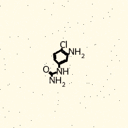 NC(=O)Nc1ccc(Cl)c(N)c1